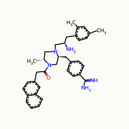 Cc1ccc(C[C@@H](N)CN2C[C@@H](C)N(C(=O)Cc3ccc4ccccc4c3)C[C@@H]2Cc2ccc(C(=N)N)cc2)c(C)c1